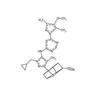 COc1c(C)nn(-c2cc(Nc3c(C)c(C45C6C7C4C4C5C6C74C#N)nn3CC3CC3)ncn2)c1C